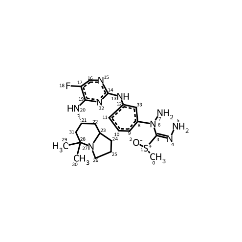 C[S+]([O-])/C(=N/N)N(N)c1cccc(Nc2ncc(F)c(N[C@@H]3CC4CCCN4C(C)(C)C3)n2)c1